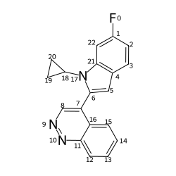 Fc1ccc2cc(-c3cnnc4ccccc34)n(C3CC3)c2c1